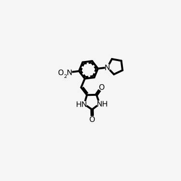 O=C1NC(=O)/C(=C\c2cc(N3CCCC3)ccc2[N+](=O)[O-])N1